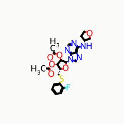 CC(=O)O[C@@H]1[C@@H](OC(C)=O)[C@@H](CSc2ccccc2F)O[C@H]1n1cnc2c(N[C@@H]3CCOC3)ncnc21